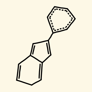 C1=CC2=CC(c3ccccc3)=CC2=CC1